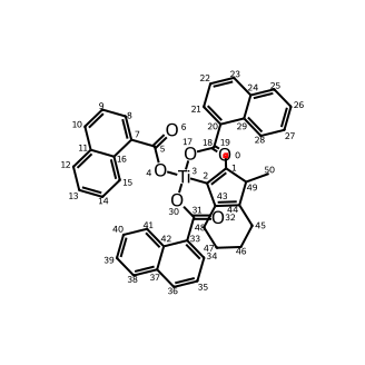 CC1=[C]([Ti]([O]C(=O)c2cccc3ccccc23)([O]C(=O)c2cccc3ccccc23)[O]C(=O)c2cccc3ccccc23)C2=C(CCCC2)C1C